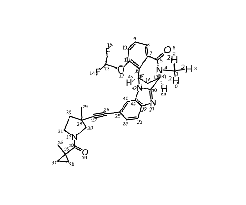 [2H]C([2H])([2H])N1C(=O)c2cccc(OC(F)F)c2[C@H]2C[C@@H]1c1nc3ccc(C#CC4(C)CCN(C(=O)C5(C)CC5)C4)cc3n12